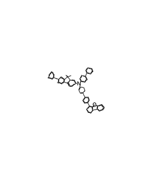 CC1(C)c2cc(-c3ccccc3)ccc2-c2ccc(N(C3=CC=C(c4ccc(-c5cccc6c5oc5ccccc56)cc4)CC3)c3ccc(-c4ccccc4)cc3)cc21